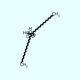 CCCCCCCCCCCCCCCCCC(=O)C(=O)C(O)(CO)C(=O)CCCCCCCCCCCCCCCCC